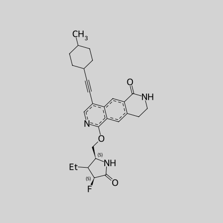 CCC1[C@H](F)C(=O)N[C@@H]1COc1ncc(C#CC2CCC(C)CC2)c2cc3c(cc12)CCNC3=O